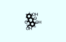 O=C1c2c(O)cccc2C(=O)c2c(CO)ccc(O)c21